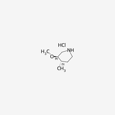 CO[C@H]1CNCC[C@@H]1C.Cl